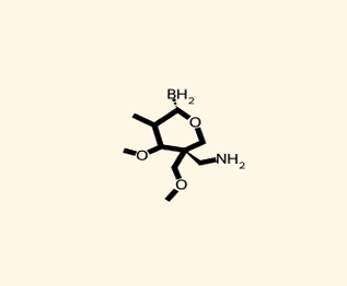 B[C@@H]1OC[C@](CN)(COC)C(OC)C1C